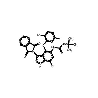 CC(C)(C)OC(=O)Nc1cc(Cl)c2[nH]nc(N3C(=O)c4ccccc4C3=O)c2c1Oc1cc(F)ccc1Cl